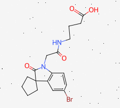 O=C(O)CCCNC(=O)CN1C(=O)C2(CCCC2)c2cc(Br)ccc21